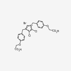 O=C(O)COc1ccc(Cn2c[n+](Cc3ccc(OCC(=O)O)cc3)c(Cl)c2Cl)cc1.[Br-]